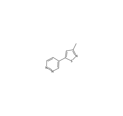 Cc1cc(-c2ccnnc2)sn1